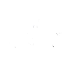 CCNc1cc(NC)c([N+](=O)[O-])cc1C(=O)NC1CC(F)(F)C1